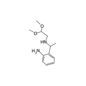 COC(CNC(C)c1ccccc1N)OC